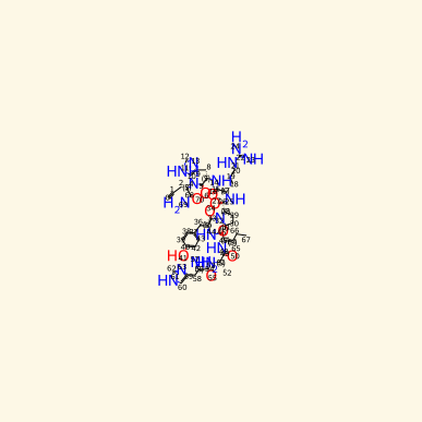 C#CC[C@H](NC(=O)[C@H](Cc1c[nH]cn1)NC(=O)[C@H](CCCNC(=N)N)NC(=O)[C@@H]1CCCN1C(=O)[C@H](Cc1ccc(O)cc1)NC(=O)[C@@H](NC(=O)[C@H](C)NC(=O)[C@@H](N)Cc1c[nH]cn1)[C@@H](C)CC)C(N)=O